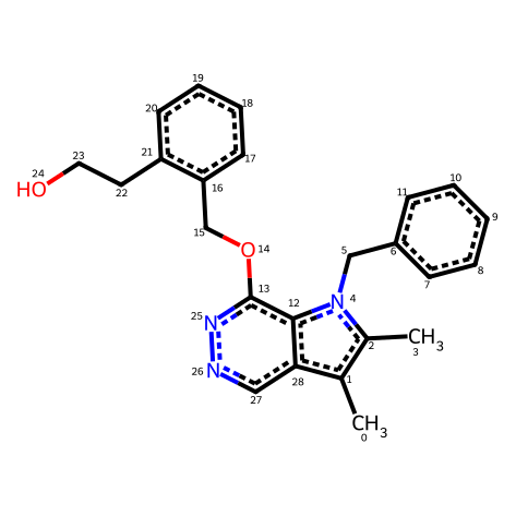 Cc1c(C)n(Cc2ccccc2)c2c(OCc3ccccc3CCO)nncc12